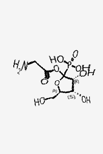 NCC(=O)OC1(P(=O)(O)O)O[C@H](CO)[C@@H](O)[C@H]1O